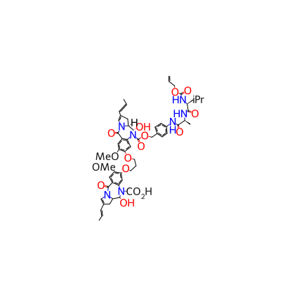 C=CCOC(=O)N[C@H](C(=O)N[C@@H](C)C(=O)Nc1ccc(COC(=O)N2c3cc(OCCCOc4cc5c(cc4OC)C(=O)N4C=C(/C=C/C)CC4C(O)N5C(=O)O)c(OC)cc3C(=O)N3C=C(/C=C/C)C[C@H]3[C@@H]2O)cc1)C(C)C